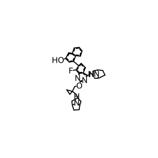 Oc1cc(-c2ccc3c(N4CC5CCC(C4)N5)nc(OCC4(CC5CC6CCC(C5)N6)CC4)nc3c2F)c2ccccc2c1